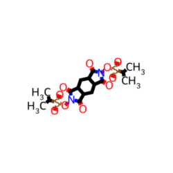 CC(C)S(=O)(=O)ON1C(=O)C2CC3C(=O)N(OS(=O)(=O)C(C)C)C(=O)C3CC2C1=O